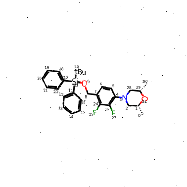 C[C@@H]1CN(c2ccc(CO[Si](c3ccccc3)(c3ccccc3)C(C)(C)C)c(F)c2F)C[C@H](C)O1